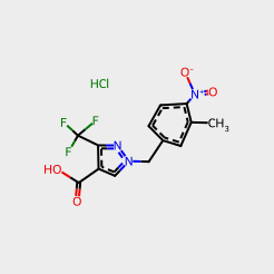 Cc1cc(Cn2cc(C(=O)O)c(C(F)(F)F)n2)ccc1[N+](=O)[O-].Cl